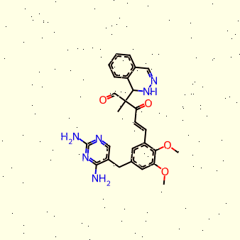 COc1cc(Cc2cnc(N)nc2N)cc(C=CC(=O)C(C)(C=O)C2NN=Cc3ccccc32)c1OC